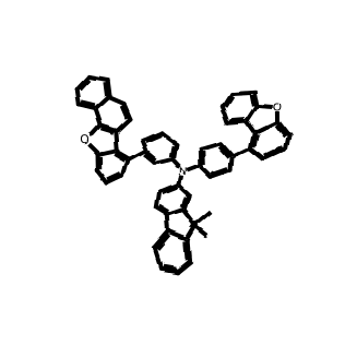 CC1(C)c2ccccc2-c2ccc(N(c3ccc(-c4cccc5oc6ccccc6c45)cc3)c3cccc(-c4cccc5oc6c7ccccc7ccc6c45)c3)cc21